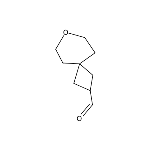 O=CC1CC2(CCOCC2)C1